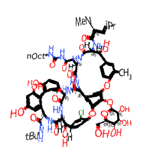 CCCCCCCCNC(=O)NC(=O)C[C@@H]1NC(=O)[C@H](NC(=O)[C@@H](CC(C)C)NC)[C@H](O)c2ccc(c(C)c2)Oc2cc3cc(c2O[C@@H]2O[C@H](CO)[C@@H](O)[C@H](O)[C@H]2O)OC2=CC[C@@H](C=C2Cl)[C@@H](O)[C@@H]2NC(=O)[C@H](NC(=O)[C@@H]3NC1=O)c1ccc(O)c(c1)-c1c(O)cc(O)cc1[C@@H](C(=O)NC(C)(C)C)NC2=O